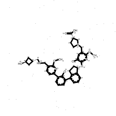 COc1nc(-c2cccc(-c3cccc4c3CC[C@@H]4Oc3nc(OC)c(CN4CC[C@H](C(=O)O)C4)cc3Cl)c2Cl)ccc1CNC[C@H]1C[C@H](O)C1